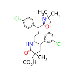 CC1(C)COC(C(CCC2NC(=O)C(C)(CC(=O)O)CC2c2cccc(Cl)c2)c2ccc(Cl)cc2)=N1